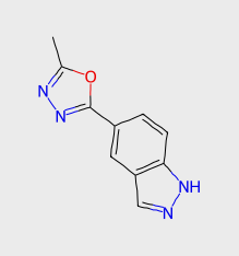 Cc1nnc(-c2ccc3[nH]ncc3c2)o1